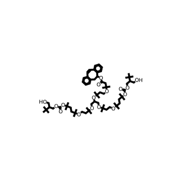 CC(C)(CCC(C)(C)OC(=O)OCC(CO)C(C)(C)C)OCCC(C)(C)OCC(COC(C)(C)CCOC(C)(C)CCC(C)(C)OC(=O)OCC(CO)C(C)(C)C)OC(C)(C)CCOC(C)(C)CC(=O)OC1Cc2ccccc2C#Cc2ccccc21